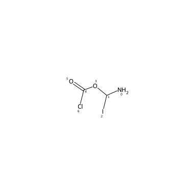 NC(I)OC(=O)Cl